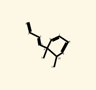 C=CC=CC1(C)C=CC=CC1C